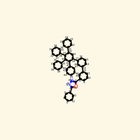 c1ccc(-c2nnc(-c3cccc(-c4cccc(-c5cc(-c6ccccc6)c(-c6ccccc6)c(-c6ccccc6)c5-c5ccccc5)c4)c3)o2)cc1